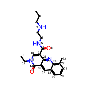 CCCNCCNC(=O)c1cn(CC)c(=O)c2cc3cccc(C)c3nc12